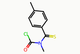 Cc1ccc(C(=S)N(C)C(=O)Cl)cc1